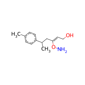 Cc1ccc(C(C)C/C(=C/CO)ON)cc1